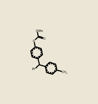 COC(=O)Oc1ccc(C(c2ccc(C)cc2)C(C)C)cc1